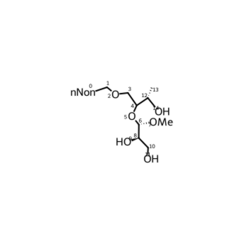 CCCCCCCCCCOCC(O[C@H](OC)[C@H](O)CO)[C@H](C)O